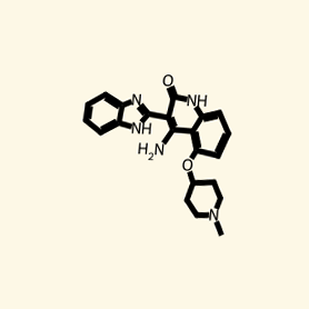 CN1CCC(Oc2cccc3[nH]c(=O)c(-c4nc5ccccc5[nH]4)c(N)c23)CC1